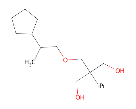 CC(COCC(CO)(CO)C(C)C)C1CCCC1